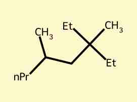 [CH2]CC(C)(CC)CC(C)CCC